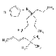 C=CC=CC(C)(C)C.CCCP(CCC)(CCC)=NC1=CC=CC1.[Ti]